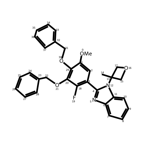 COc1cc(-c2nc3ccccc3n2C2(C)COC2)c(F)c(OCc2ccccc2)c1OCc1ccccc1